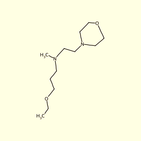 CCOCCCN(C)CCN1CCOCC1